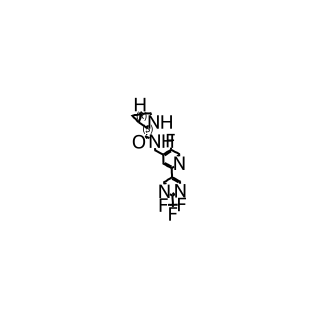 O=C(NCc1cc(-c2cnc(C(F)(F)F)nc2)ncc1F)[C@H]1NC[C@@H]2CC21